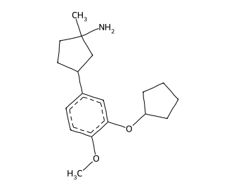 COc1ccc(C2CCC(C)(N)C2)cc1OC1CCCC1